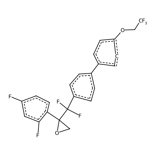 Fc1ccc(C2(C(F)(F)c3ccc(-c4ccc(OCC(F)(F)F)cc4)cc3)CO2)c(F)c1